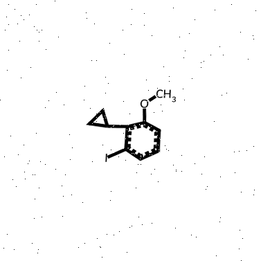 COc1cccc(I)c1C1CC1